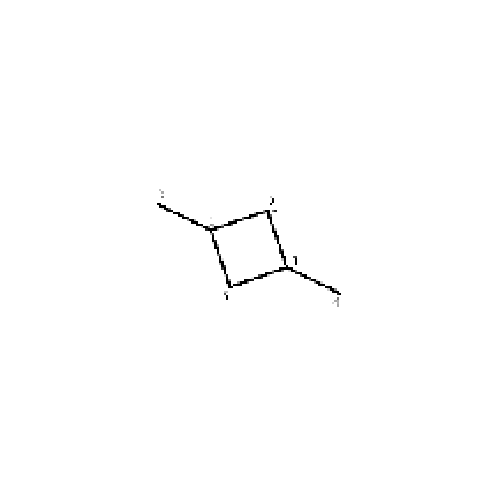 CC1[CH]C(C)C1